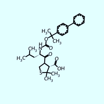 CC(C)C[C@H](NC(=O)OC(C)(C)c1ccc(-c2ccccc2)cc1)C(=O)C1CSC(C)(C)[C@H]1C(=O)O